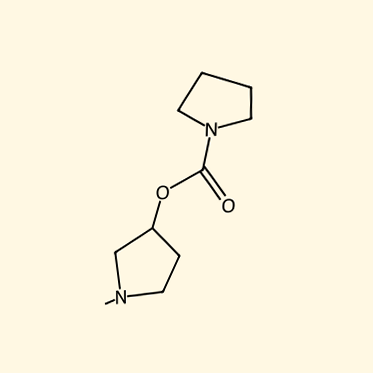 CN1CCC(OC(=O)N2CCCC2)C1